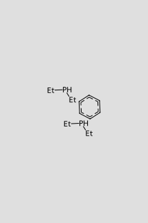 CCPCC.CCPCC.c1ccccc1